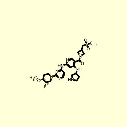 CO[C@H]1CCN(c2nccc(Nc3cc(NC4CCNC4)c(C(=O)N4CC(CS(C)(=O)=O)C4)cn3)n2)C[C@H]1F